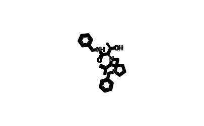 C=C(C)C1N([C@H](C(=O)NCc2ccccc2)[C@@H](C)O)CC12CCCN2Cc1ccccc1